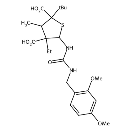 CCC1(C(=O)O)C(NC(=O)NCc2ccc(OC)cc2OC)SC(C(=O)O)(C(C)(C)C)C1C